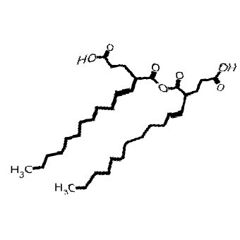 CCCCCCCCCC/C=C/C(CCC(=O)O)C(=O)OC(=O)C(/C=C/CCCCCCCCCC)CCC(=O)O